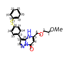 COCCOCc1cc(=O)n2ncc(-c3ccc(Sc4ccccc4)cc3)c2[nH]1